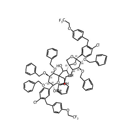 CO[C@@]1(c2ccc(Cl)c(Cc3ccc(OCC(F)(F)F)cc3)c2)OC(CO)(C(O)C(O)[C@]23CO[C@@](c4ccc(Cl)c(Cc5ccc(OCC(F)(F)F)cc5)c4)(O2)[C@H](OCc2ccccc2)[C@@H](OCc2ccccc2)[C@H]3OCc2ccccc2)[C@H](OCc2ccccc2)[C@H](OCc2ccccc2)[C@H]1OCc1ccccc1